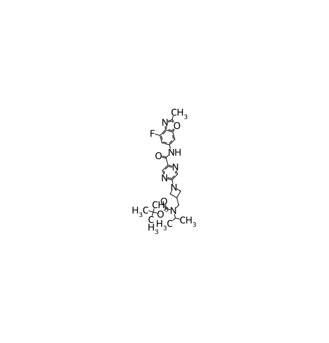 Cc1nc2c(F)cc(NC(=O)c3cnc(N4CC(CN(C(=O)OC(C)(C)C)C(C)C)C4)cn3)cc2o1